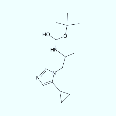 CC(Cn1cncc1C1CC1)NC(O)OC(C)(C)C